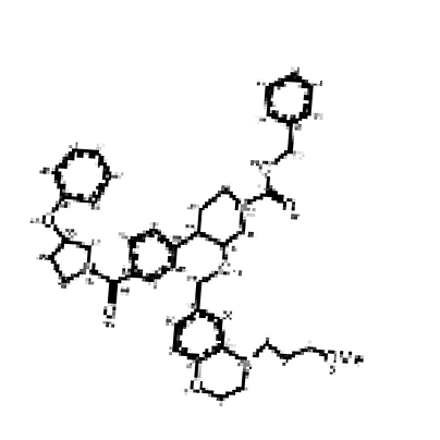 COCCCN1CCOc2ccc(COC3CN(C(=O)OCc4ccccc4)CCC3c3ccc(C(=O)N4CCC(Oc5ccccc5)C4)cc3)cc21